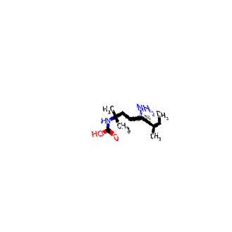 CCC(C)[C@@H](N)CCC(C)(C)NC(=O)O